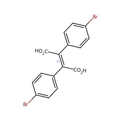 O=C(O)/C(=C(/C(=O)O)c1ccc(Br)cc1)c1ccc(Br)cc1